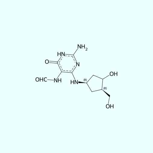 Nc1nc(N[C@H]2CC(O)[C@@H](CO)C2)c(NC=O)c(=O)[nH]1